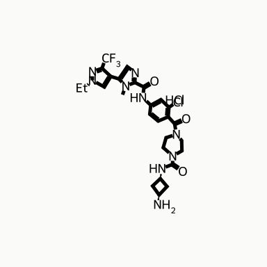 CCn1cc(-c2cnc(C(=O)Nc3ccc(C(=O)N4CCN(C(=O)N[C@H]5C[C@@H](N)C5)CC4)c(Cl)c3)n2C)c(C(F)(F)F)n1.Cl